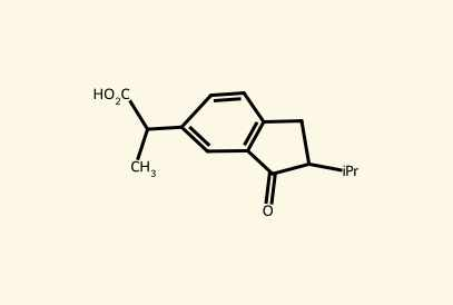 CC(C(=O)O)c1ccc2c(c1)C(=O)C(C(C)C)C2